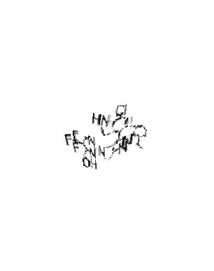 CCc1cccc(CC)c1-n1nc2c(c1-c1ccc(Cl)c3[nH]ccc13)CN(c1ncc(C(F)(F)F)c(CO)n1)CC2